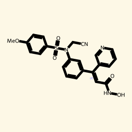 COc1ccc(S(=O)(=O)N(CC#N)c2cccc(/C(=C/C(=O)NO)c3cccnc3)c2)cc1